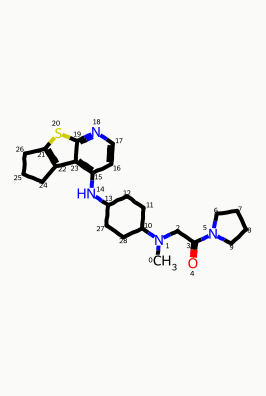 CN(CC(=O)N1CCCC1)C1CCC(Nc2ccnc3sc4c(c23)CCC4)CC1